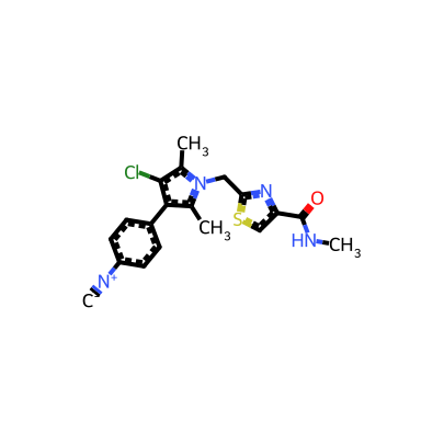 [C-]#[N+]c1ccc(-c2c(Cl)c(C)n(Cc3nc(C(=O)NC)cs3)c2C)cc1